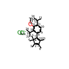 CC1=C(C)C(C)(C)C(c2ccc(C(C)C)c([O][Ti+2])c2C(C)C)=C1C.[Cl-].[Cl-]